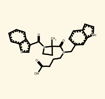 CC1(C(=O)N(CCCC(=O)N=O)Cc2ccc3cc[nH]c3c2)CCN1C(=O)c1csc2ccccc12